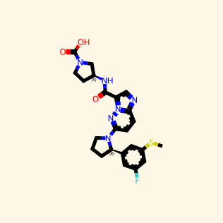 CSc1cc(F)cc([C@H]2CCCN2c2ccc3ncc(C(=O)N[C@H]4CCN(C(=O)O)C4)n3n2)c1